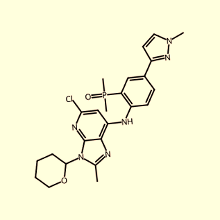 Cc1nc2c(Nc3ccc(-c4ccn(C)n4)cc3P(C)(C)=O)cc(Cl)nc2n1C1CCCCO1